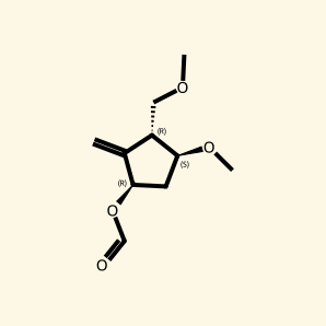 C=C1[C@H](OC=O)C[C@H](OC)[C@H]1COC